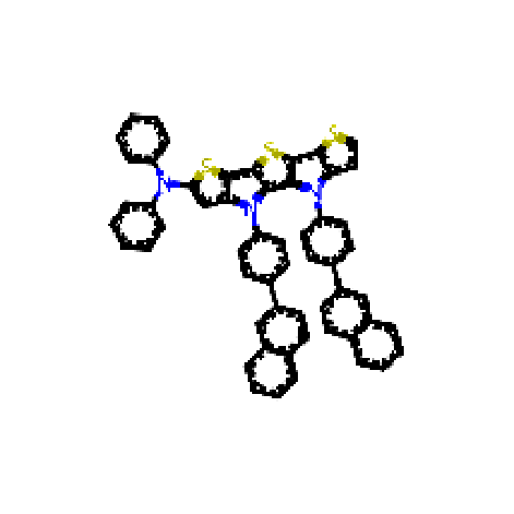 c1ccc(N(c2ccccc2)c2cc3c(s2)c2sc4c5sccc5n(-c5ccc(-c6ccc7ccccc7c6)cc5)c4c2n3-c2ccc(-c3ccc4ccccc4c3)cc2)cc1